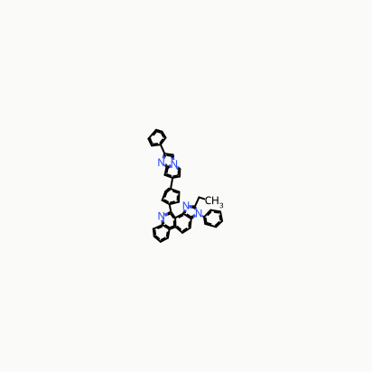 CCc1nc2c3c(-c4ccc(-c5ccn6cc(-c7ccccc7)nc6c5)cc4)nc4ccccc4c3ccc2n1-c1ccccc1